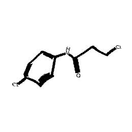 O=C(CCCl)Nc1ccc(Cl)cc1